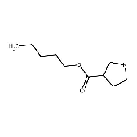 CCCCCOC(=O)C1CC[N]C1